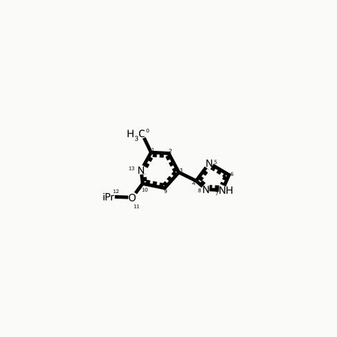 Cc1cc(-c2nc[nH]n2)cc(OC(C)C)n1